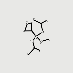 CO[Si](OC(C)C)(OC(C)C)C1COC1